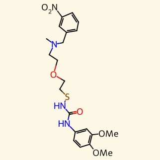 COc1ccc(NC(=O)NSCCOCCN(C)Cc2cccc([N+](=O)[O-])c2)cc1OC